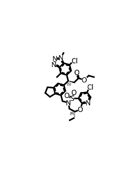 CCOC(=O)C[C@@H](c1cc2c(c(CN3C[C@@H](CC)Oc4ncc(Cl)cc4S3(=O)=O)c1)CCC2)c1cc(Cl)c2c(nnn2C)c1C